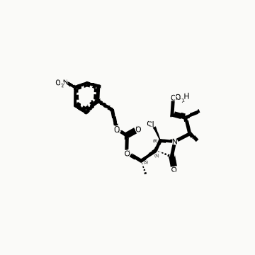 CC(=CC(=O)O)C(C)N1C(=O)[C@H]([C@H](C)OC(=O)OCc2ccc([N+](=O)[O-])cc2)[C@H]1Cl